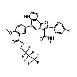 CNC(=O)c1c(-c2ccc(F)cc2)oc2c1cc(-c1ccc(OC)c(C(=O)NCC(F)(F)C(F)(F)C(F)(F)F)c1)c1[nH]ccc12